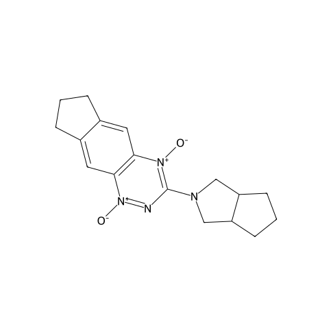 [O-][n+]1nc(N2CC3CCCC3C2)[n+]([O-])c2cc3c(cc21)CCC3